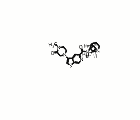 C[C@H]1[C@H](NC(=O)c2cc3c(N4CCN(C)C(=O)C4)csc3cn2)C2CCN1CC2